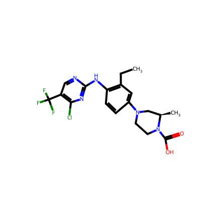 CCc1cc(N2CCN(C(=O)O)[C@H](C)C2)ccc1Nc1ncc(C(F)(F)F)c(Cl)n1